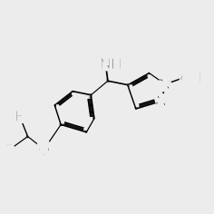 Cn1cc(C(N)c2ccc(OC(F)F)cc2)cn1